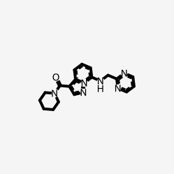 O=C(c1cnn2c(NCc3ncccn3)cccc12)N1CCCCC1